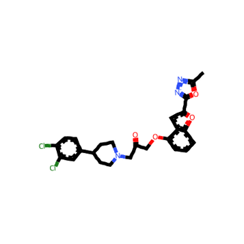 Cc1nnc(-c2cc3c(OCC(=O)CN4CCC(c5ccc(Cl)c(Cl)c5)CC4)cccc3o2)o1